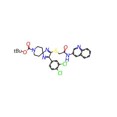 CC(C)(C)OC(=O)N1CCC2(CC1)N=C(SCC(=O)Nc1cnc3ccccc3c1)C(c1ccc(Cl)c(Cl)c1)=N2